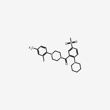 CS(=O)(=O)c1ccc(N2CCCCC2)c(C(=O)N2CCN(c3ccc(C(F)(F)F)cc3F)CC2)c1